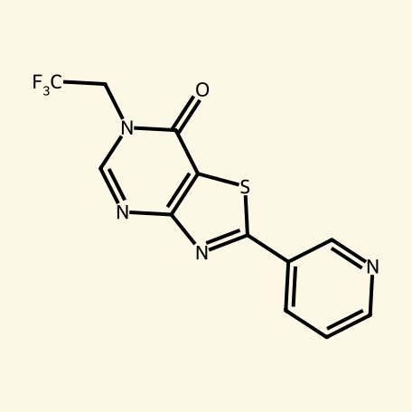 O=c1c2sc(-c3cccnc3)nc2ncn1CC(F)(F)F